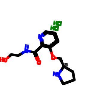 Cl.Cl.O=C(NCCO)c1ncccc1OC[C@H]1CCCN1